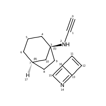 C#CN[C@@]12CCC[C@H](CC1)C2.c1cc2ncc1-2